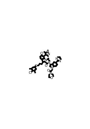 Cc1cc(OCCCc2c3n(c4c(-c5c(C)nn(C)c5C)c(Cl)ccc24)C(C)CN(c2cn(CC(=O)N4CCOCC4)c4ccc(-c5ncccn5)cc24)C3=O)cc(C)c1Cl